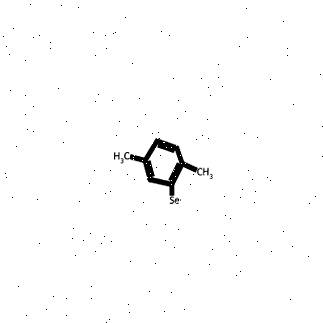 Cc1ccc(C)c([Se])c1